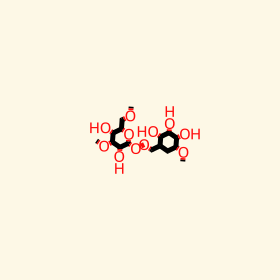 COCC1OC(OOCC2CC(OC)C(O)C(O)C2O)C(O)C(OC)C1O